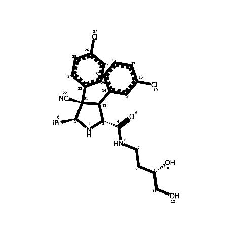 CC(C)[C@@H]1N[C@@H](C(=O)NCC[C@H](O)CO)C(c2cccc(Cl)c2)[C@@]1(C#N)c1ccc(Cl)cc1